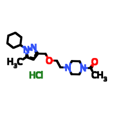 CC(=O)N1CCN(CCOCc2cc(C)n(C3CCCCC3)n2)CC1.Cl